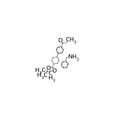 CCC(=O)c1ccc(C2CCC(C(=O)OC(C)(C)C)CC2)cc1.NCc1ccccc1